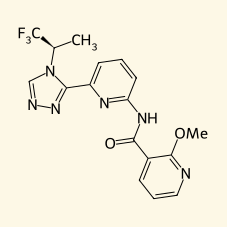 COc1ncccc1C(=O)Nc1cccc(-c2nncn2[C@H](C)C(F)(F)F)n1